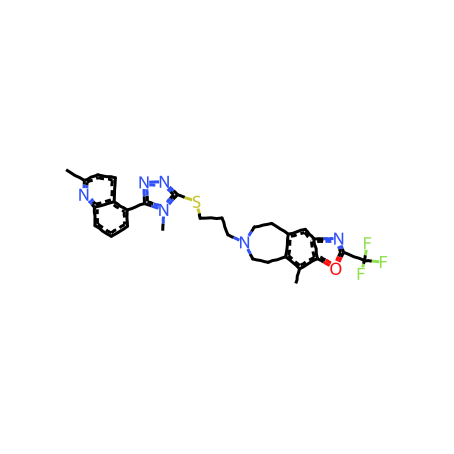 Cc1ccc2c(-c3nnc(SCCCN4CCc5cc6nc(C(F)(F)F)oc6c(C)c5CC4)n3C)cccc2n1